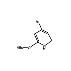 CCCCOC1=CC(Br)=CCN1